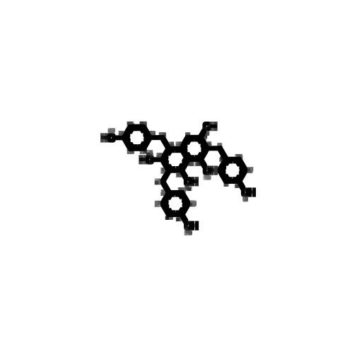 Oc1ccc(Cc2c(O)cc3c(Cc4ccc(O)cc4)c(O)c(Cc4ccc(O)cc4)c(O)c3c2O)cc1